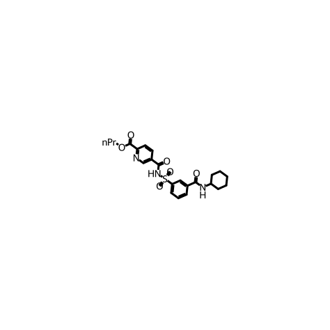 CCCOC(=O)c1ccc(C(=O)NS(=O)(=O)c2cccc(C(=O)NC3CCCCC3)c2)cn1